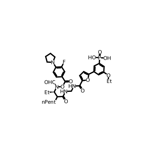 CCCCCC(C(=O)NCNC(=O)c1ccc(-c2cc(OCC)cc(P(=O)(O)O)c2)o1)[C@@H](CC)N(C=O)OC(=O)c1ccc(N2CCCC2)c(F)c1